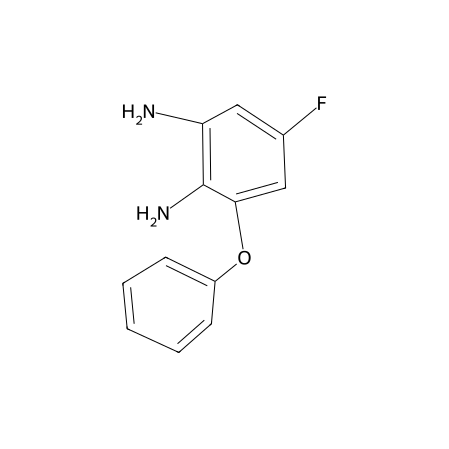 Nc1cc(F)cc(Oc2ccccc2)c1N